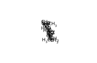 COc1cc(OC)nc(NC(=O)NS(=O)(=O)c2cccc3c2S(=O)(=O)N(C[Si](C)(C)C)C3)n1